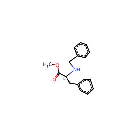 COC(=O)[C@H](Cc1ccccc1)NCc1ccccc1